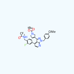 COc1ccc(Cn2nc(C3=CCN(C(=O)OC(C)(C)C)C3)c3c(-c4ccc(CNC(=O)C(F)(F)F)c(F)c4)ccnc32)cc1